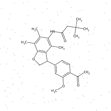 COc1cc(C2COc3c(C)c(C)c(NC(=O)CC(C)(C)C)c(C)c32)ccc1C(C)=O